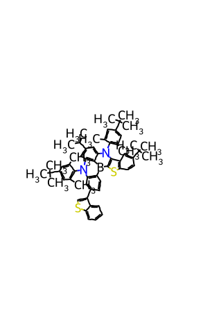 Cc1cc(C(C)(C)C)cc(C)c1N1c2cc(-c3csc4ccccc34)ccc2B2c3sc4ccc(C(C)(C)C)cc4c3N(c3c(C)cc(C(C)(C)C)cc3C)c3cc(C(C)C)cc1c32